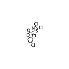 O=C(Oc1ccc(Cl)cc1Cl)Sc1nc(Cl)c(Cl)s1